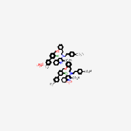 O.O.O.O=C(O)c1ccc(CCN(CCc2ccccc2OCc2ccc(-c3ccc(C(F)(F)F)cc3)cc2Cl)c2cc3c(nc2C(=O)O)CCCC3)cc1.O=C(O)c1ccc(CCN(CCc2ccccc2OCc2ccc(-c3ccc(C(F)(F)F)cc3)cc2Cl)c2cc3c(nc2C(=O)O)CCCC3)cc1